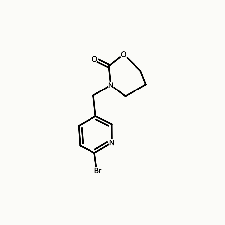 O=C1OCCCN1Cc1ccc(Br)nc1